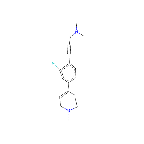 CN(C)CC#Cc1ccc(C2=CCN(C)CC2)cc1F